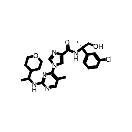 Cc1cnc(NC(C)C2CCOCC2)nc1-n1cnc(C(=O)N[C@@](C)(CO)c2cccc(Cl)c2)c1